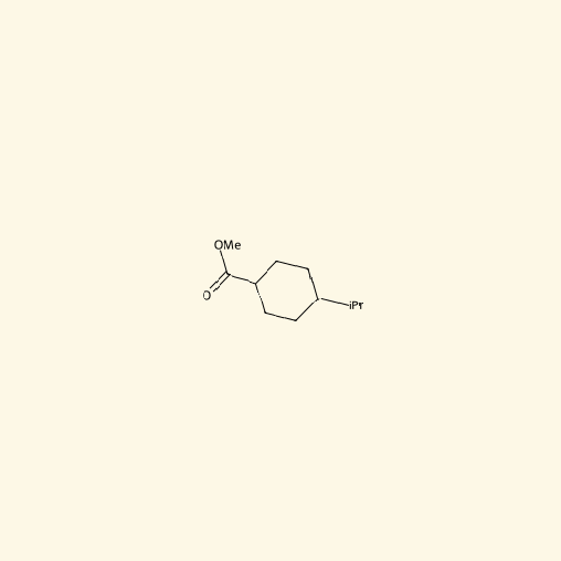 COC(=O)C1CCC(C(C)C)CC1